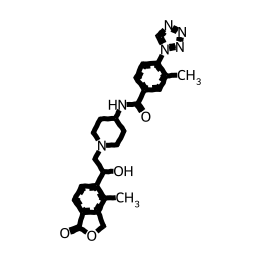 Cc1cc(C(=O)NC2CCN(CC(O)c3ccc4c(c3C)COC4=O)CC2)ccc1-n1cnnn1